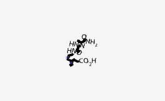 C/C=C(\C=C/CNC(=O)c1nc(C(N)=O)c[nH]1)CCC(=O)O